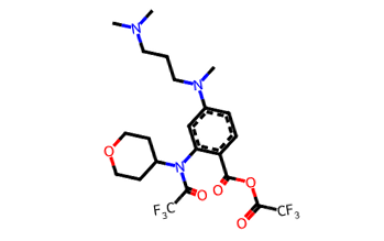 CN(C)CCCN(C)c1ccc(C(=O)OC(=O)C(F)(F)F)c(N(C(=O)C(F)(F)F)C2CCOCC2)c1